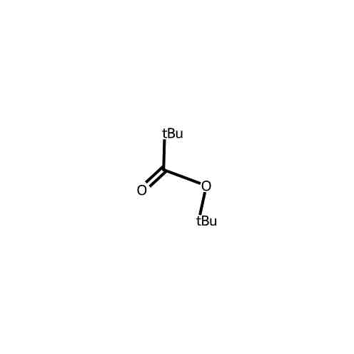 [CH2]C(C)(C)C(=O)OC(C)(C)C